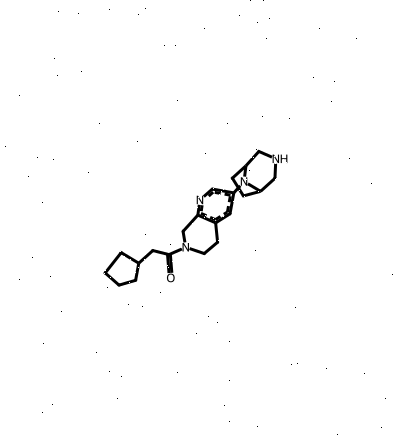 O=C(CC1CCCC1)N1CCc2cc(N3C4CCC3CNC4)cnc2C1